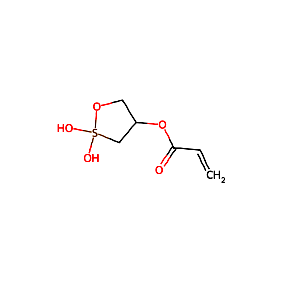 C=CC(=O)OC1COS(O)(O)C1